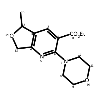 CCOC(=O)c1cc2c(nc1N1CCOCC1)COC2C